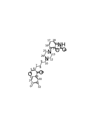 Cc1cc2occ(CCCCN3CCN(c4cccc5[nH]c(=O)oc45)CC3)c(=O)c2cc1C